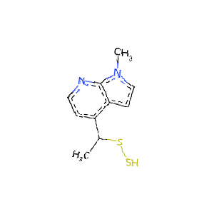 CC(SS)c1ccnc2c1ccn2C